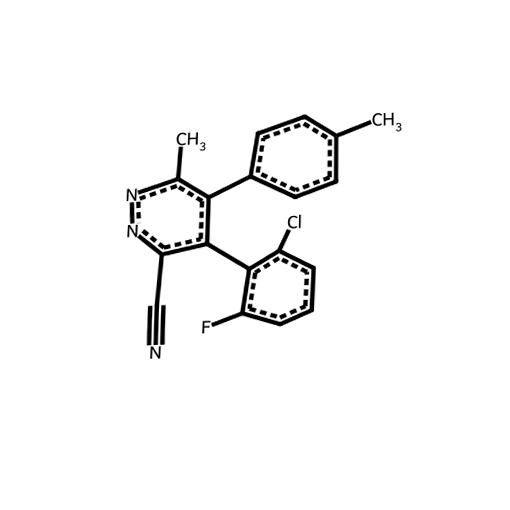 Cc1ccc(-c2c(C)nnc(C#N)c2-c2c(F)cccc2Cl)cc1